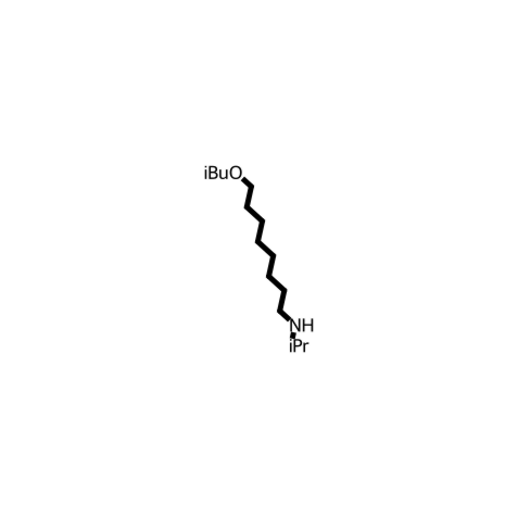 CC(C)COCCCCCCCCNC(C)C